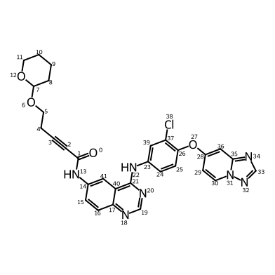 O=C(C#CCCOC1CCCCO1)Nc1ccc2ncnc(Nc3ccc(Oc4ccn5ncnc5c4)c(Cl)c3)c2c1